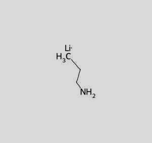 CCCN.[Li]